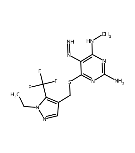 CCn1ncc(CSc2nc(N)nc(NC)c2N=N)c1C(F)(F)F